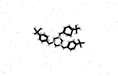 CC(C)(C)c1ccc(CN2CN(Cc3ccc(C(C)(C)C)cc3)CN(Cc3ccc(C(C)(C)C)cc3)C2)cc1